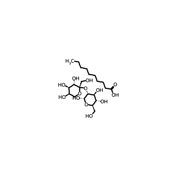 CCCCCCCCCC(=O)O.OC[C@H]1O[C@H](O)[C@H](O[C@]2(CO)OC[C@@H](O)[C@@H](O)[C@@H]2O)[C@@H](O)[C@@H]1O